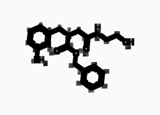 Bc1cccc(CN(CC(=O)NCCO)C(=O)OCc2ccccc2)n1